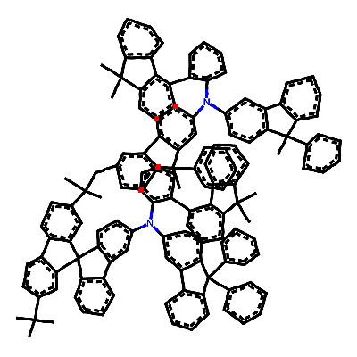 CC(C)(C)c1ccc2c(c1)C1(c3ccccc3-c3cc(N(c4ccc5c(c4)-c4ccccc4C5(c4ccccc4)c4ccccc4)c4ccccc4-c4cccc5c4-c4ccccc4C5(C)C)ccc31)c1cc(C(C)(C)Cc3ccc4c(c3)-c3ccc(N(c5ccc6c(c5)-c5ccccc5C6(C)c5ccccc5)c5ccccc5-c5cccc6c5-c5ccccc5C6(C)C)cc3C4(C)c3ccccc3)ccc1-2